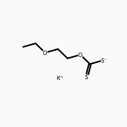 CCOCCOC(=S)[S-].[K+]